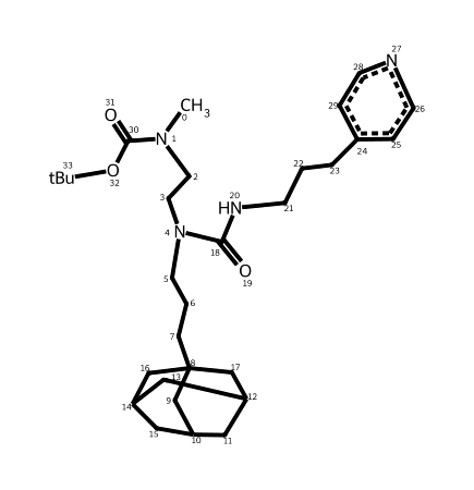 CN(CCN(CCCC12CC3CC(CC(C3)C1)C2)C(=O)NCCCc1ccncc1)C(=O)OC(C)(C)C